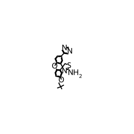 CC(C)(C)COc1ccc2c(c1)C1(CSC(N)=N1)c1cc(-c3cncnc3)ccc1O2